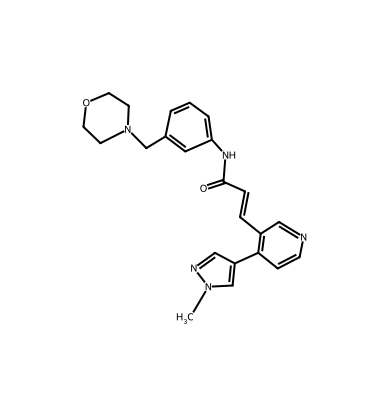 Cn1cc(-c2ccncc2C=CC(=O)Nc2cccc(CN3CCOCC3)c2)cn1